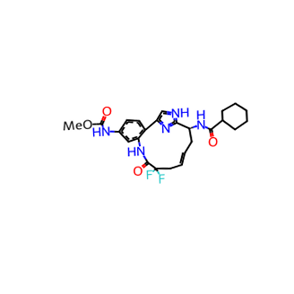 COC(=O)Nc1ccc2c(c1)NC(=O)C(F)(F)C/C=C/C[C@H](NC(=O)C1CCCCC1)c1nc-2c[nH]1